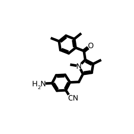 Cc1ccc(C(=O)c2c(C)cc(Cc3ccc(N)cc3C#N)n2C)c(C)c1